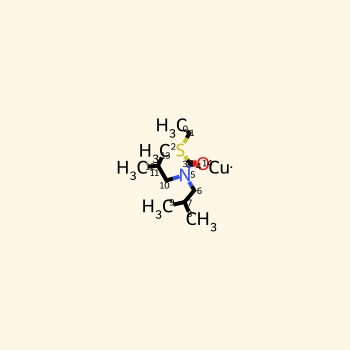 CCSC(=O)N(CC(C)C)CC(C)C.[Cu]